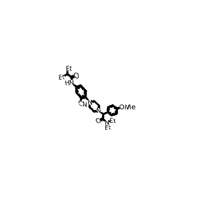 CCC(CC)C(=O)Nc1ccc(N2CCN(C(C(=O)N(CC)CC)c3ccc(OC)cc3)CC2)c(C#N)c1